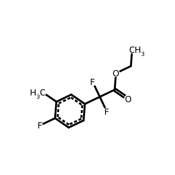 CCOC(=O)C(F)(F)c1ccc(F)c(C)c1